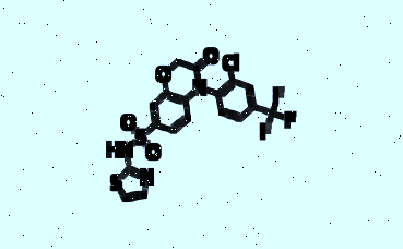 O=C1COc2cc(S(=O)(=O)Nc3nccs3)ccc2N1c1ccc(C(F)(F)F)cc1Cl